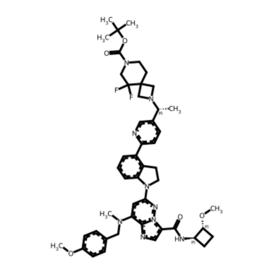 COc1ccc(CN(C)c2cc(N3CCc4c(-c5ccc([C@@H](C)N6CC7(CCN(C(=O)OC(C)(C)C)CC7(F)F)C6)cn5)cccc43)nn3c(C(=O)N[C@@H]4CC[C@H]4OC)cnc23)cc1